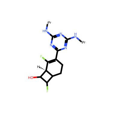 CC(C)Nc1nc(NC(C)C)nc(C2=C(F)[C@@H]3C(O)C(F)C3CC2)n1